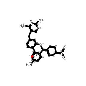 COOc1ccc(Cc2cnc(N)nc2N)cc1OC(C1=CCC(=S(=O)=O)C=C1)c1ccc(N)cc1